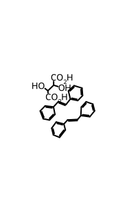 C(=Cc1ccccc1)c1ccccc1.C(=Cc1ccccc1)c1ccccc1.O=C(O)C(O)C(O)C(=O)O